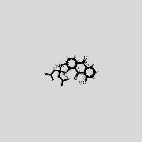 CC(C)CC1(CC(C)C)Nc2ccc3c(c2N1)C(=O)c1c(O)cccc1C3=O